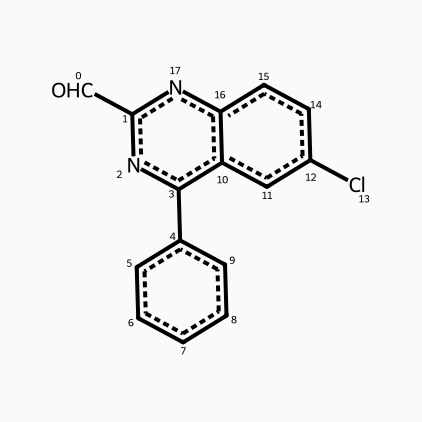 O=Cc1nc(-c2ccccc2)c2cc(Cl)ccc2n1